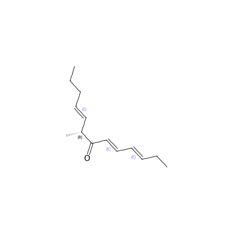 CC/C=C/C=C/C(=O)[C@H](C)/C=C/CCC